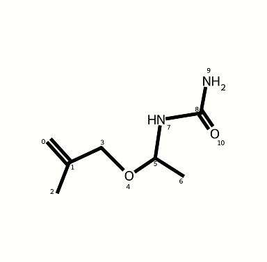 C=C(C)COC(C)NC(N)=O